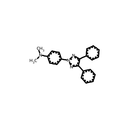 CN(C)c1ccc(-n2nc(-c3ccccc3)c(-c3ccccc3)n2)cc1